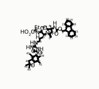 C=CC[C@@](C)(NC(=O)OCC1c2ccccc2-c2ccccc21)C(=O)N[C@@H](CCCNC(=N)NS(=O)(=O)c1c(C)c(C)c2c(c1C)CC(C)(C)O2)C(=O)N[C@@H](CC)C(=O)O